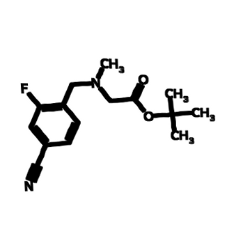 CN(CC(=O)OC(C)(C)C)Cc1ccc(C#N)cc1F